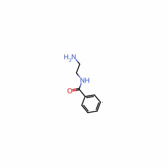 NCCNC(=O)c1c[c]ccc1